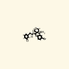 NN1c2cc(Br)ccc2N=C(NNCc2cccc(Cl)c2)C12CCOCC2